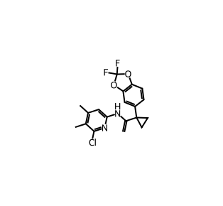 C=C(Nc1cc(C)c(C)c(Cl)n1)C1(c2ccc3c(c2)OC(F)(F)O3)CC1